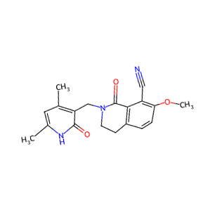 COc1ccc2c(c1C#N)C(=O)N(Cc1c(C)cc(C)[nH]c1=O)CC2